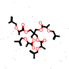 C=C(C)COC(C)C(=O)OCC(COC(=O)C(C)OCC(=C)C)(COC(=O)C(C)OCC(=C)C)COC(=O)C(C)OCC(=C)C